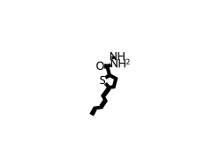 C=C/C=C\C=C1/CCC(C(=O)NN)S1